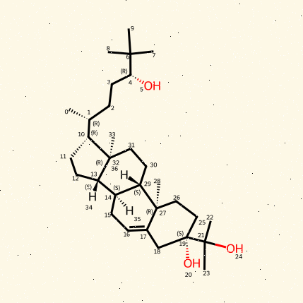 C[C@H](CC[C@@H](O)C(C)(C)C)[C@H]1CC[C@H]2[C@@H]3CC=C4C[C@](O)(C(C)(C)O)CC[C@]4(C)[C@H]3CC[C@]12C